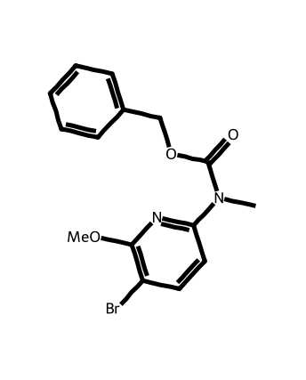 COc1nc(N(C)C(=O)OCc2ccccc2)ccc1Br